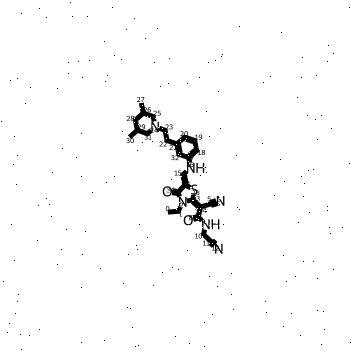 CCn1c(=C(C#N)C(=O)NCC#N)sc(=CNc2cccc(CCN3CC(C)CC(C)C3)c2)c1=O